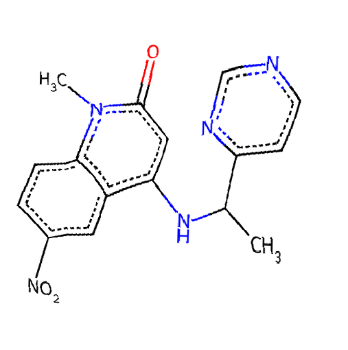 CC(Nc1cc(=O)n(C)c2ccc([N+](=O)[O-])cc12)c1ccncn1